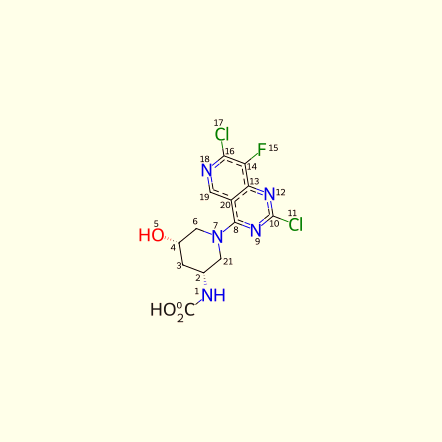 O=C(O)N[C@@H]1C[C@H](O)CN(c2nc(Cl)nc3c(F)c(Cl)ncc23)C1